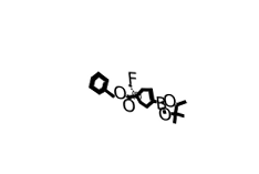 CC1OB(C2=CC[C@](CF)(C(=O)OCc3ccccc3)CC2)OC1(C)C